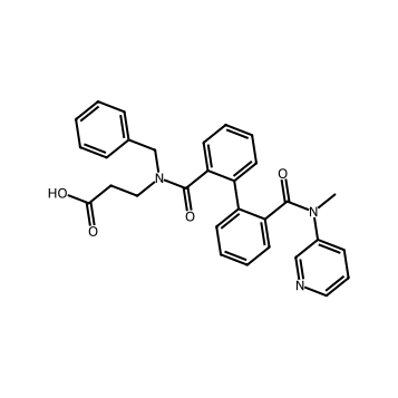 CN(C(=O)c1ccccc1-c1ccccc1C(=O)N(CCC(=O)O)Cc1ccccc1)c1cccnc1